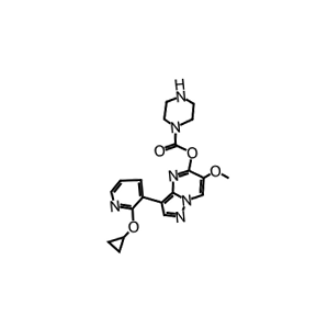 COc1cn2ncc(-c3cccnc3OC3CC3)c2nc1OC(=O)N1CCNCC1